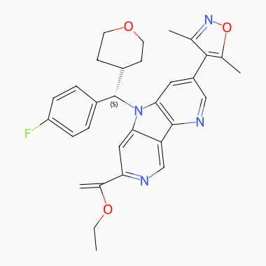 C=C(OCC)c1cc2c(cn1)c1ncc(-c3c(C)noc3C)cc1n2[C@H](c1ccc(F)cc1)C1CCOCC1